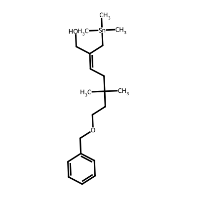 CC(C)(C/C=C(/CO)[CH2][Sn]([CH3])([CH3])[CH3])CCOCc1ccccc1